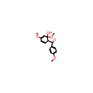 COC1=CC(O)(OC)C(C(=O)c2ccc(OC)cc2)C=C1